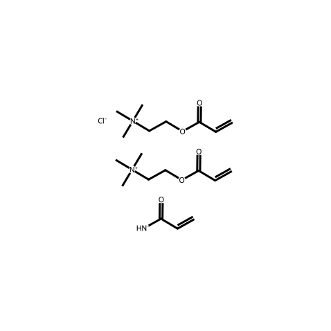 C=CC(=O)OCC[N+](C)(C)C.C=CC(=O)OCC[N+](C)(C)C.C=CC([NH-])=O.[Cl-]